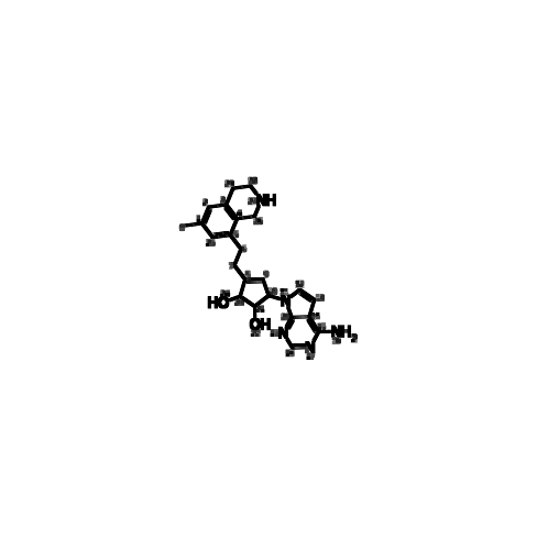 Cc1cc2c(c(CCC3=CC(n4ccc5c(N)ncnc54)C(O)C3O)c1)CNCC2